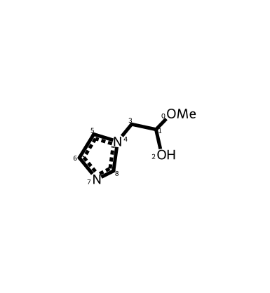 COC(O)Cn1ccnc1